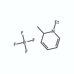 CCN1C=CC=CC1C.F[B-](F)(F)F